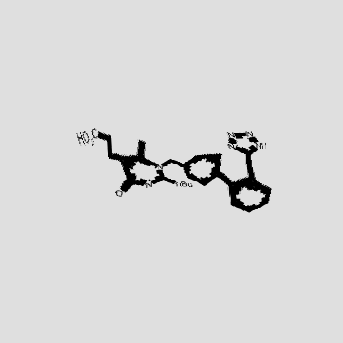 CCCCc1nc(=O)c(CCC(=O)O)c(C)n1Cc1ccc(-c2ccccc2-c2nnn[nH]2)cc1